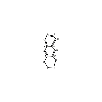 [CH]1CCCc2cc3ccccc3cc21